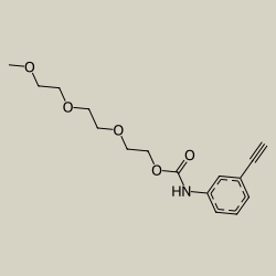 C#Cc1cccc(NC(=O)OCCOCCOCCOC)c1